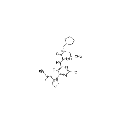 CCCN(C)C[C@@H]1CCCN1c1nc(Cl)nc(NNC(=O)[C@H](CC2CCCC2)CN(O)C=O)c1F